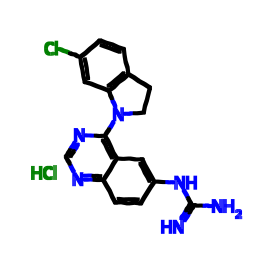 Cl.N=C(N)Nc1ccc2ncnc(N3CCc4ccc(Cl)cc43)c2c1